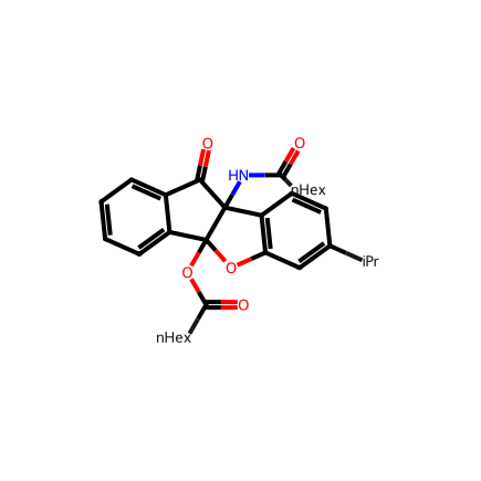 CCCCCCC(=O)NC12C(=O)c3ccccc3C1(OC(=O)CCCCCC)Oc1cc(C(C)C)ccc12